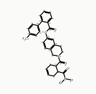 CCN(CC)C(=O)C1CC=CCC1C(=O)N1CCc2cc(OC(=O)c3ccccc3-c3ccc(C(F)(F)F)cc3)ccc2C1